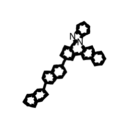 c1ccc2cc(-c3ccc4cc(-c5ccc6c(c5)c5cc7ccccc7cc5n5c7ccccc7nc65)ccc4c3)ccc2c1